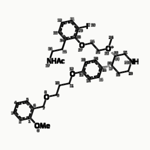 COc1ccccc1COCCCOc1ccc([C@H]2CCNC[C@H]2[O+](C)CCOc2c(F)cccc2CCNC(C)=O)cc1